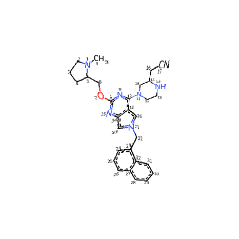 CN1CCCC1COc1nc(N2CCNC(CC#N)C2)c2cn(Cc3cccc4ccccc34)cc2n1